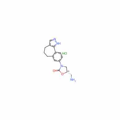 Cl.NC[C@H]1CN(c2ccc3c(c2)CCCc2cn[nH]c2-3)C(=O)O1